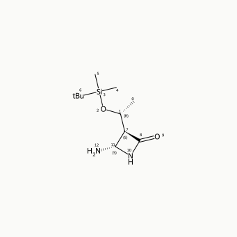 C[C@@H](O[Si](C)(C)C(C)(C)C)[C@H]1C(=O)N[C@@H]1N